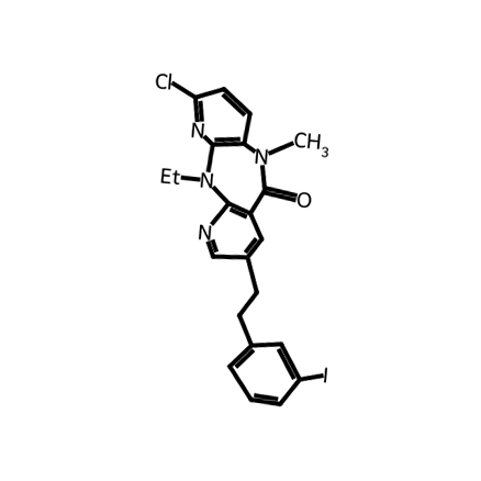 CCN1c2ncc(CCc3cccc(I)c3)cc2C(=O)N(C)c2ccc(Cl)nc21